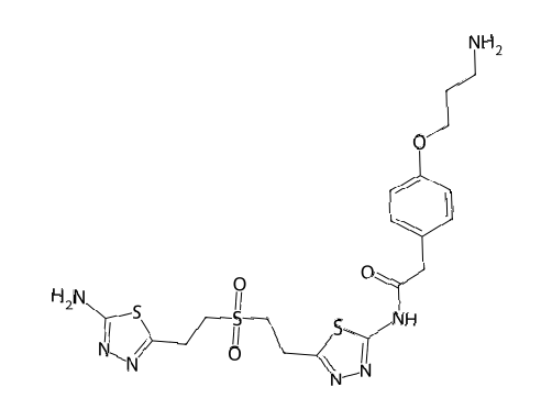 NCCCOc1ccc(CC(=O)Nc2nnc(CCS(=O)(=O)CCc3nnc(N)s3)s2)cc1